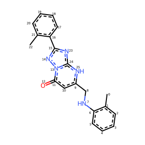 Cc1ccccc1NCc1cc(=O)n2nc(-c3ccccc3C)nc2[nH]1